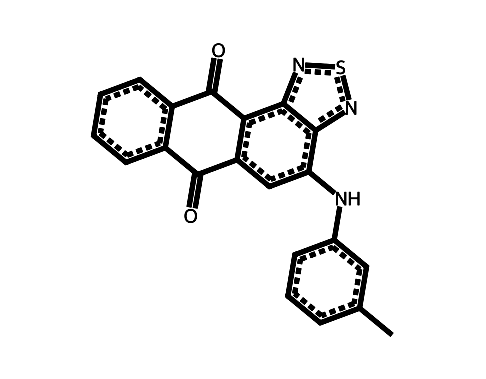 Cc1cccc(Nc2cc3c(c4nsnc24)C(=O)c2ccccc2C3=O)c1